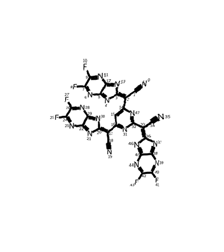 N#CC(=C1N=c2nc(F)c(F)nc2=N1)c1cc(C(C#N)=C2N=c3nc(F)c(F)nc3=N2)nc(C(C#N)=C2N=c3nc(F)c(F)nc3=N2)n1